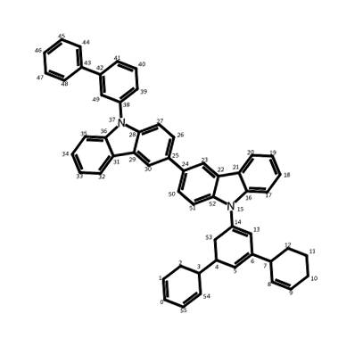 C1=CCC(C2C=C(C3C=CCCC3)C=C(n3c4ccccc4c4cc(-c5ccc6c(c5)c5ccccc5n6-c5cccc(-c6ccccc6)c5)ccc43)C2)C=C1